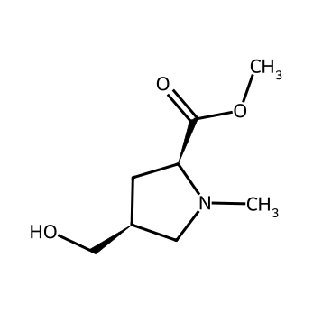 COC(=O)[C@@H]1C[C@H](CO)CN1C